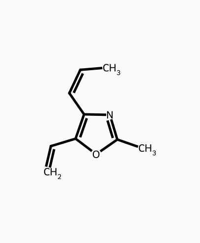 C=Cc1oc(C)nc1/C=C\C